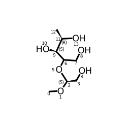 CO[C@H](CO)OC(CO)[C@@H](O)[C@@H](C)O